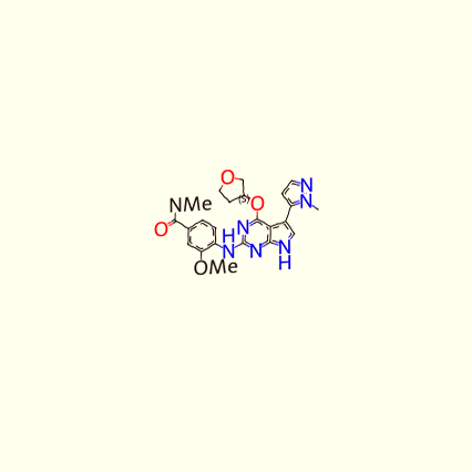 CNC(=O)c1ccc(Nc2nc(O[C@H]3CCOC3)c3c(-c4ccnn4C)c[nH]c3n2)c(OC)c1